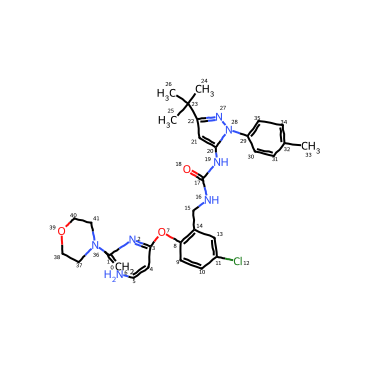 C=C(/N=C(\C=C/N)Oc1ccc(Cl)cc1CNC(=O)Nc1cc(C(C)(C)C)nn1-c1ccc(C)cc1)N1CCOCC1